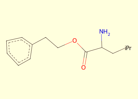 CC(C)CC(N)C(=O)OCCc1ccccc1